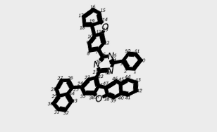 c1ccc(-c2nc(-c3ccc4c(c3)oc3ccccc34)nc(-c3cc(-c4cccc5ccccc45)cc4oc5cc6ccccc6cc5c34)n2)cc1